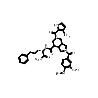 CNC(=O)[C@H](CCCc1ccccc1)NC(=O)C1CN(C(=O)c2[nH]ccc2C)CC2CN(C(=O)c3ccc(OC(C)C)c(OC)c3)CC21